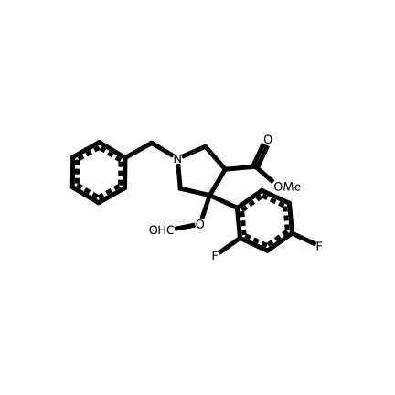 COC(=O)C1CN(Cc2ccccc2)CC1(OC=O)c1ccc(F)cc1F